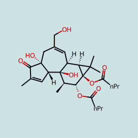 CCCC(=O)O[C@@H]1[C@@H](C)[C@@]2(O)[C@@H](C=C(CO)C[C@]3(O)C(=O)C(C)=C[C@@H]23)[C@H]2C(C)(C)[C@]12OC(=O)CCC